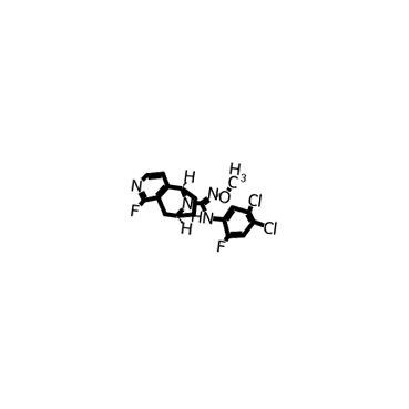 CON=C(Nc1cc(Cl)c(Cl)cc1F)N1[C@H]2CC[C@@H]1c1ccnc(F)c1C2